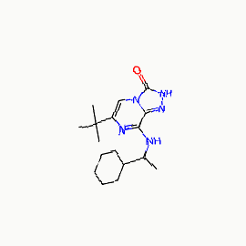 CC(Nc1nc(C(C)(C)C)cn2c(=O)[nH]nc12)C1CCCCC1